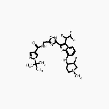 CN1CCC(Nc2cccc3c(C(F)C(F)F)c(-c4noc(CNC(=O)c5cnn(C(C)(C)C)c5)n4)sc23)C(F)C1